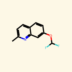 Cc1ccc2ccc(OC(F)F)cc2n1